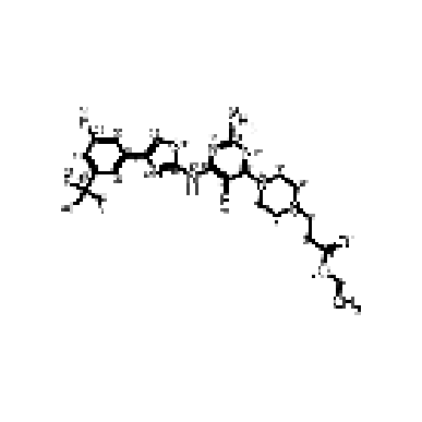 CCOC(=O)CCN1CCN(c2nc(C)nc(Nc3nc(-c4cc(F)cc(C(F)(F)F)c4)cs3)c2F)CC1